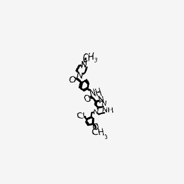 COc1ccc(Cl)c(CN2CCNc3nnc(C(=O)Nc4ccc(C(=O)N5CCN(C)CC5)cc4)cc32)c1